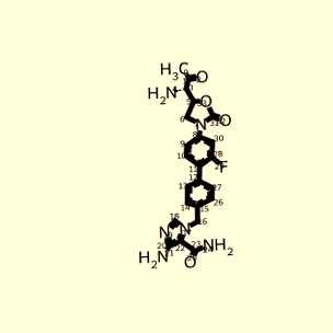 CC(=O)[C@@H](N)C1CN(c2ccc(-c3ccc(Cn4cnc(N)c4C(N)=O)cc3)c(F)c2)C(=O)O1